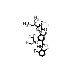 CCC(C)c1nn(-c2cc(O[C@@H](CF)C(F)F)c(C(=O)Nc3c(F)cccc3F)cc2F)c(=O)n1C